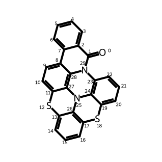 O=c1c2ccccc2c2ccc3sc4cccc5sc6cccc7c6-n(c54)c3c2n17